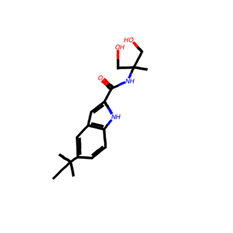 CC(CO)(CO)NC(=O)c1cc2cc(C(C)(C)C)ccc2[nH]1